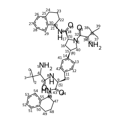 CC(C)(C)C(N)C(=O)N[C@@H](Cc1ccc([C@H]2C[C@@H](C(=O)N[C@@H]3CCCc4ccccc43)N(C(=O)[C@@H](N)C(C)(C)C)C2)cc1)C(=O)N[C@@H]1CCCc2ccccc21